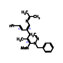 C=NN(Cc1ccccc1)/C(NC)=C(/C)CC(=C/N=C(C)C)/C=C/CCC